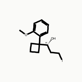 COc1ccccc1C1([C@H](O)CCI)CCC1